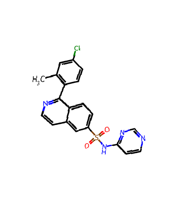 Cc1cc(Cl)ccc1-c1nccc2cc(S(=O)(=O)Nc3ccncn3)ccc12